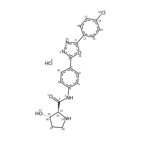 Cl.O=C(Nc1ccc(-c2nnc(-c3ccc(Cl)cc3)o2)cc1)[C@H]1NCC[C@@H]1O